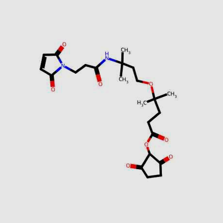 CC(C)(CCOC(C)(C)CCC(=O)OC1C(=O)CCC1=O)NC(=O)CCN1C(=O)C=CC1=O